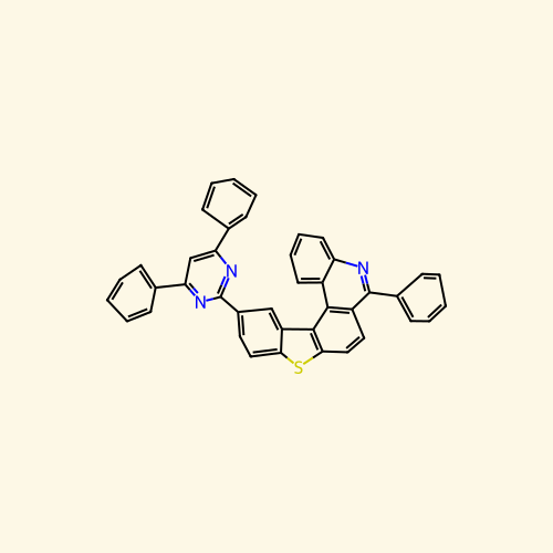 c1ccc(-c2cc(-c3ccccc3)nc(-c3ccc4sc5ccc6c(-c7ccccc7)nc7ccccc7c6c5c4c3)n2)cc1